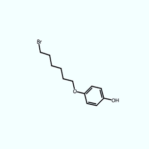 Oc1ccc(OCCCCCCBr)cc1